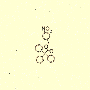 O=C(OCc1ccc([N+](=O)[O-])cc1)C(c1ccccc1)(c1ccccc1)c1ccccc1